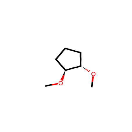 CO[C@H]1CCC[C@@H]1OC